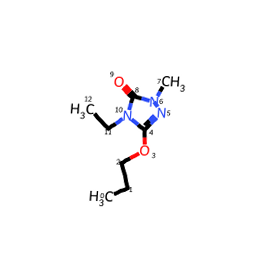 CCCOc1nn(C)c(=O)n1CC